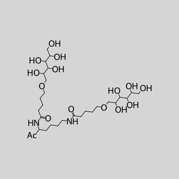 CC(=O)C(CCCCNC(=O)CCCCOCC(O)C(O)C(O)C(O)CO)NC(=O)CCCCOCC(O)C(O)C(O)C(O)CO